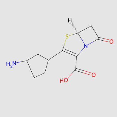 NC1CCC(C2=C(C(=O)O)N3C(=O)C[C@@H]3S2)C1